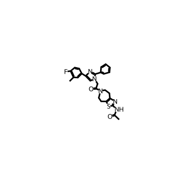 CC(=O)Nc1nc2c(s1)CCN(C(=O)Cn1cc(-c3ccc(F)c(C)c3)nc1-c1ccccc1)CC2